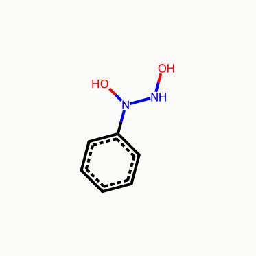 ONN(O)c1ccccc1